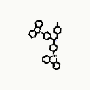 Cc1ccc(/C=C(/c2ccc(NC3C=CC=CC3c3ccccc3C)cc2)c2ccc(-n3c4ccccc4c4ccccc43)cc2)cc1